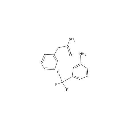 NC(=O)Cc1ccccc1.Nc1cccc(C(F)(F)F)c1